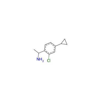 CC(N)c1ccc(C2CC2)cc1Cl